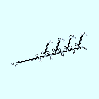 CCCCCCCCCCCC(=O)NCCN(CC(=O)NCCN(CC(=O)NCCN(CC(=O)NCCN(C)C(=O)CCCCCC)C(=O)CCCCCC)C(=O)CCCCCC)C(=O)CCCCCC